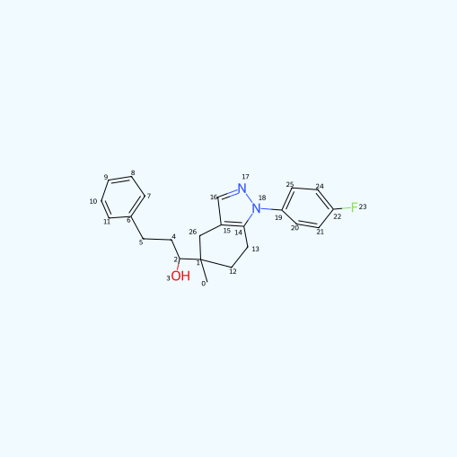 CC1(C(O)CCc2ccccc2)CCc2c(cnn2-c2ccc(F)cc2)C1